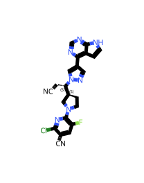 N#CC[C@@H]([C@H]1CCN(c2nc(Cl)c(C#N)cc2F)C1)n1cc(-c2ncnc3[nH]ccc23)cn1